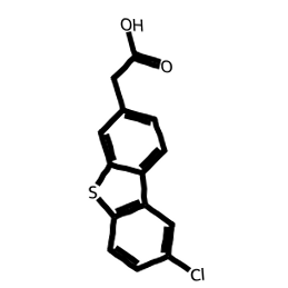 O=C(O)Cc1ccc2c(c1)sc1ccc(Cl)cc12